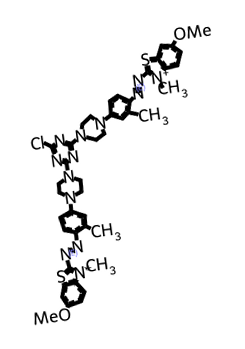 COc1ccc2c(c1)sc(/N=N/c1ccc(N3CCN(c4nc(Cl)nc(N5CCN(c6ccc(/N=N/c7sc8cc(OC)ccc8[n+]7C)c(C)c6)CC5)n4)CC3)cc1C)[n+]2C